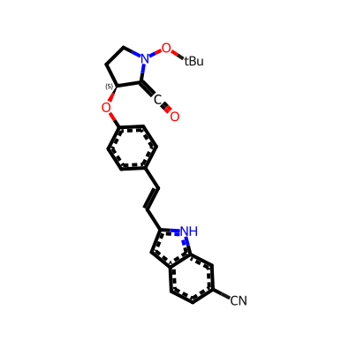 CC(C)(C)ON1CC[C@H](Oc2ccc(C=Cc3cc4ccc(C#N)cc4[nH]3)cc2)C1=C=O